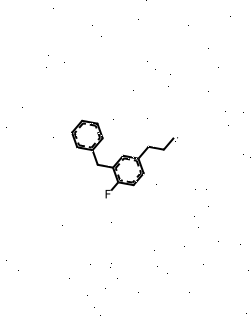 [CH2]CCc1ccc(F)c(Cc2ccccc2)c1